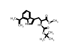 C=C(C)c1cccc2c(CC(NC(=O)OC(C)(C)C)C(=O)OC)c[nH]c12